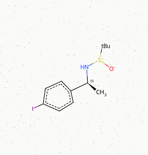 C[C@H](N[S+]([O-])C(C)(C)C)c1ccc(I)cc1